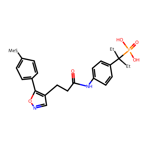 CCC(CC)(c1ccc(NC(=O)CCc2cnoc2-c2ccc(SC)cc2)cc1)P(=O)(O)O